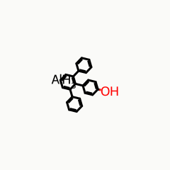 Oc1ccc(-c2c(-c3ccccc3)cccc2-c2ccccc2)cc1.[AlH3]